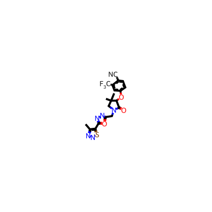 Cc1nnsc1-c1nnc(CN2CC(C)(C)C(Oc3ccc(C#N)c(C(F)(F)F)c3)C2=O)o1